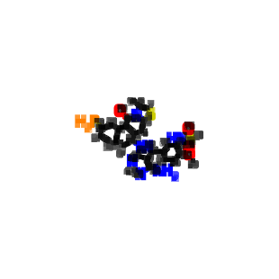 CC[C@@H](c1cc2scc(C)n2c(=O)c1-c1cccc(P)c1)n1nc(-c2ccc(OC)c(NS(C)(=O)=O)c2)c2c(N)ncnc21